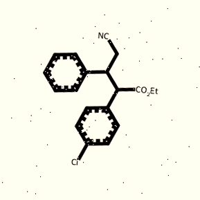 CCOC(=O)C(c1ccc(Cl)cc1)C(CC#N)c1ccccc1